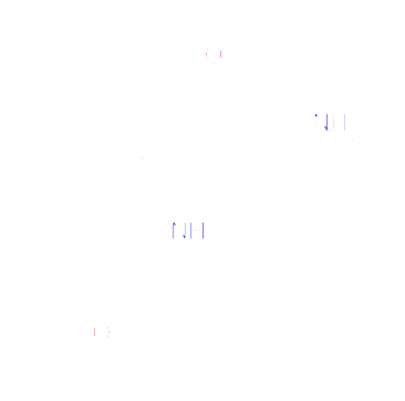 NC(=O)C1CC2COCC(C1)N2